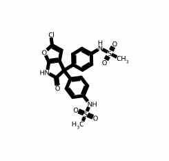 CS(=O)(=O)Nc1ccc(C2(c3ccc(NS(C)(=O)=O)cc3)C(=O)Nc3oc(Cl)cc32)cc1